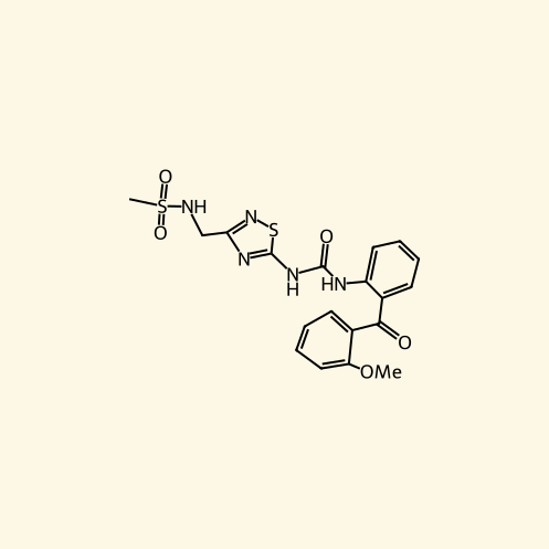 COc1ccccc1C(=O)c1ccccc1NC(=O)Nc1nc(CNS(C)(=O)=O)ns1